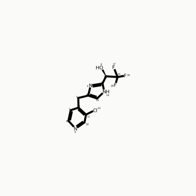 O[C@H](c1nc(Cc2ccncc2Cl)c[nH]1)C(F)(F)F